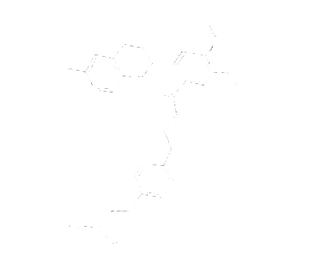 COc1cc(NCCCc2ccc(CCN(C)C)cc2)c([C@H]2CCc3cc(O)ccc3C2)cc1OC